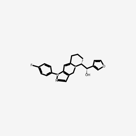 O[C@@H](c1ccoc1)[C@H]1CCCC2=Cc3c(cnn3-c3ccc(F)cc3)CI21